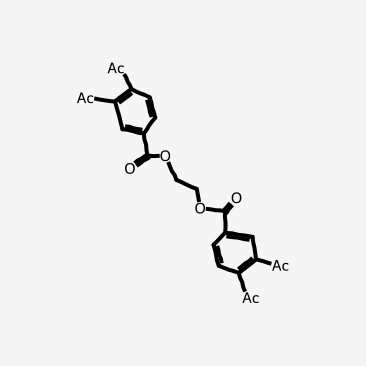 CC(=O)c1ccc(C(=O)OCCOC(=O)c2ccc(C(C)=O)c(C(C)=O)c2)cc1C(C)=O